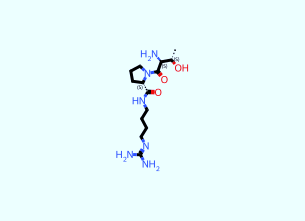 C[C@H](O)[C@H](N)C(=O)N1CCC[C@H]1C(=O)NCCCCN=C(N)N